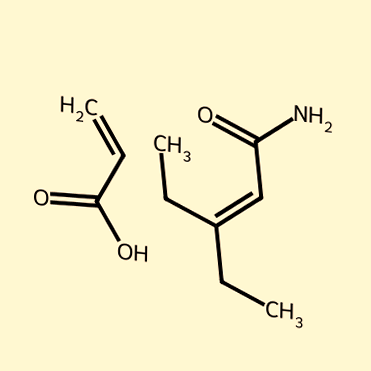 C=CC(=O)O.CCC(=CC(N)=O)CC